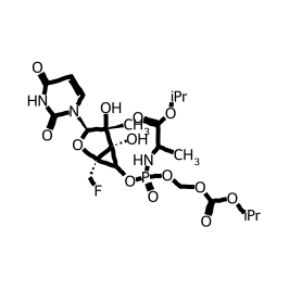 CC(C)OC(=O)OCOP(=O)(NC(C)C(=O)OC(C)C)OC1[C@]2(O)[C@@](C)(O)[C@H](n3ccc(=O)[nH]c3=O)O[C@]12CF